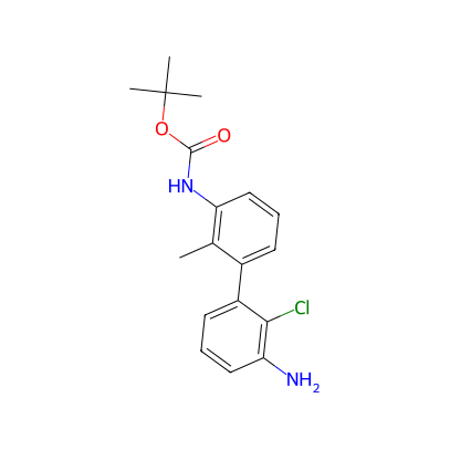 Cc1c(NC(=O)OC(C)(C)C)cccc1-c1cccc(N)c1Cl